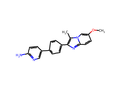 COc1ccc2nc(-c3ccc(-c4ccc(N)nc4)cc3)c(C)n2c1